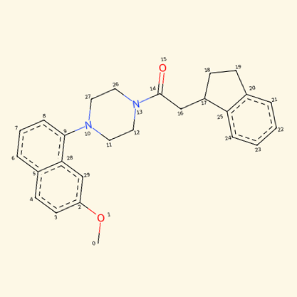 COc1ccc2cccc(N3CCN(C(=O)CC4CCc5ccccc54)CC3)c2c1